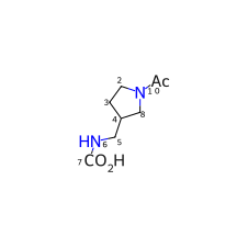 CC(=O)N1CCC(CNC(=O)O)C1